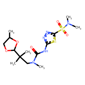 CC1COC(C(C)(C)CN(C)C(=O)Nc2nnc(S(=O)(=O)N(C)C)s2)O1